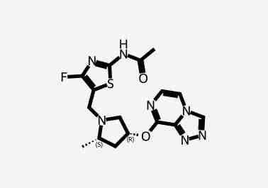 CC(=O)Nc1nc(F)c(CN2C[C@H](Oc3nccn4cnnc34)C[C@@H]2C)s1